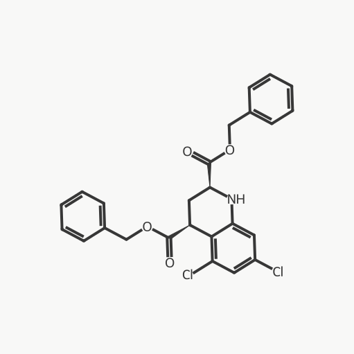 O=C(OCc1ccccc1)[C@@H]1C[C@H](C(=O)OCc2ccccc2)c2c(Cl)cc(Cl)cc2N1